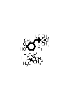 CO[C@]1(O)CC(CC(C)(C)[Si](C)(C)O)C[C@H](O[Si](C)(C)C(C)(C)C)C1